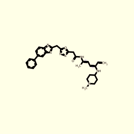 C=C/C(=C\C=C(/C)NC(=O)Cc1nnc(Cc2nc3ccc(-c4ccccc4)cc3s2)o1)NC1CCN(C)CC1